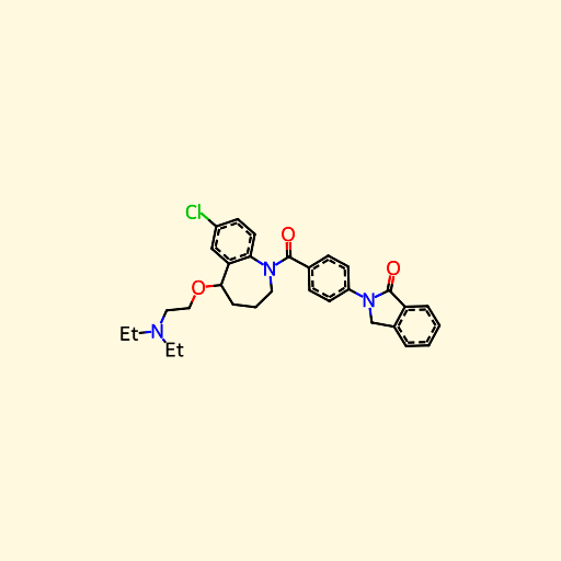 CCN(CC)CCOC1CCCN(C(=O)c2ccc(N3Cc4ccccc4C3=O)cc2)c2ccc(Cl)cc21